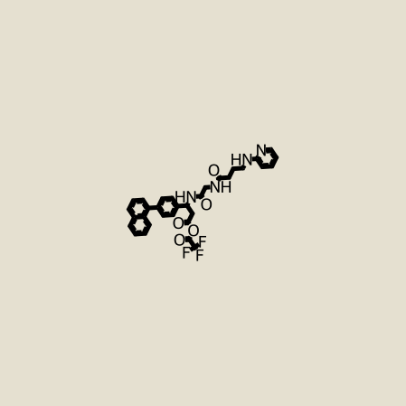 O=C(CCCNc1ccccn1)NCC(=O)NC(CC(=O)OC(=O)C(F)(F)F)c1ccc(-c2cccc3ccccc23)cc1